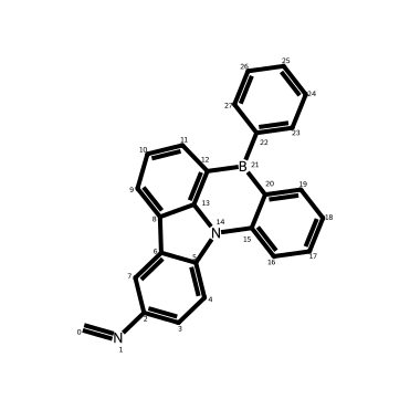 C=Nc1ccc2c(c1)c1cccc3c1n2-c1ccccc1B3c1ccccc1